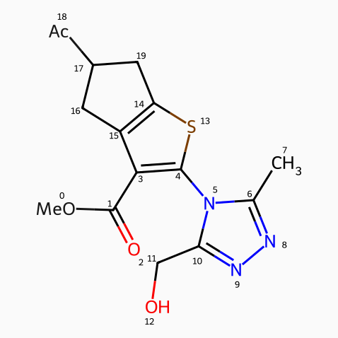 COC(=O)c1c(-n2c(C)nnc2CO)sc2c1CC(C(C)=O)C2